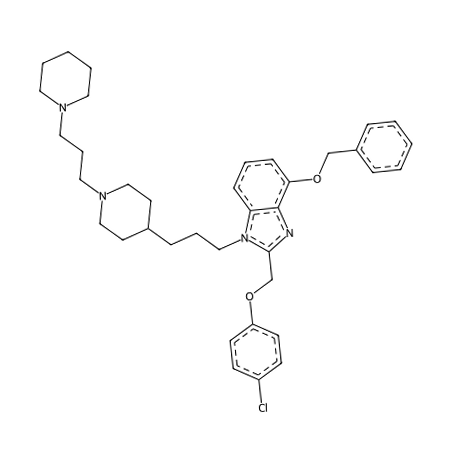 Clc1ccc(OCc2nc3c(OCc4ccccc4)cccc3n2CCCC2CCN(CCCN3CCCCC3)CC2)cc1